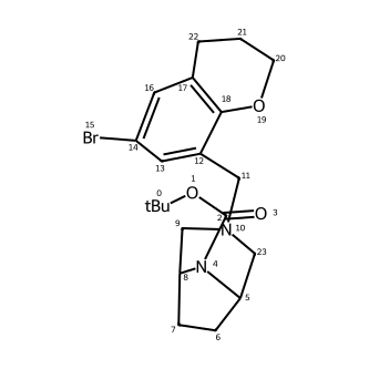 CC(C)(C)OC(=O)N1C2CCC1CN(Cc1cc(Br)cc3c1OCCC3)C2